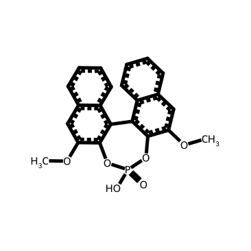 COc1cc2ccccc2c2c1OP(=O)(O)Oc1c(OC)cc3ccccc3c1-2